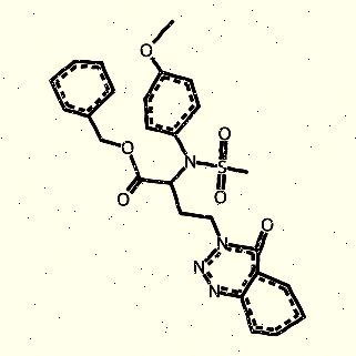 COc1ccc(N(C(CCn2nnc3ccccc3c2=O)C(=O)OCc2ccccc2)S(C)(=O)=O)cc1